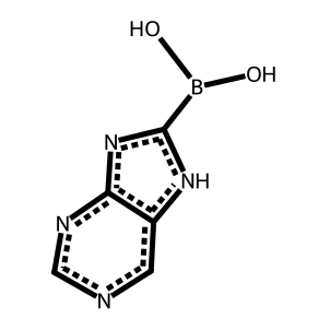 OB(O)c1nc2ncncc2[nH]1